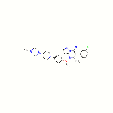 COc1ccc(N2CCC(N3CCN(C)CC3)CC2)cc1-c1cnn2c(N)c(-c3cccc(Cl)c3)c(C)nc12